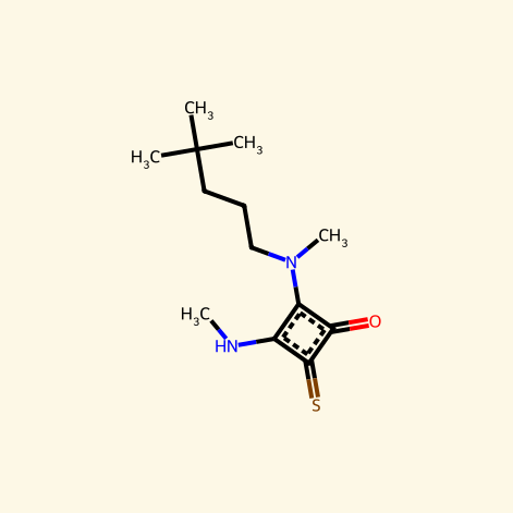 CNc1c(N(C)CCCC(C)(C)C)c(=O)c1=S